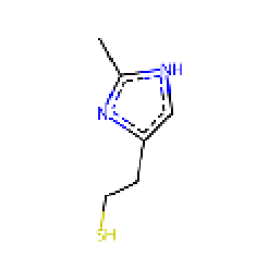 Cc1nc(CCS)c[nH]1